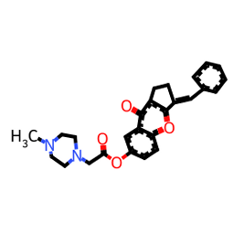 CN1CCN(CC(=O)Oc2ccc3oc4c(c(=O)c3c2)CC/C4=C\c2ccccc2)CC1